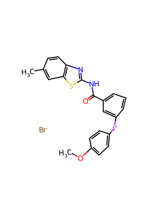 COc1ccc([I+]c2cccc(C(=O)Nc3nc4ccc(C)cc4s3)c2)cc1.[Br-]